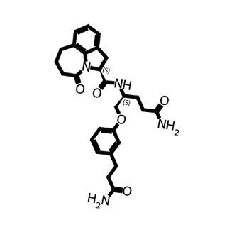 NC(=O)CCc1cccc(OC[C@H](CCC(N)=O)NC(=O)[C@@H]2Cc3cccc4c3N2C(=O)CCC4)c1